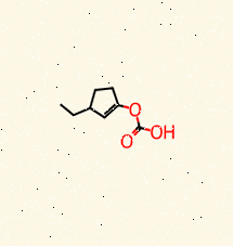 CCC1C=C(OC(=O)O)CC1